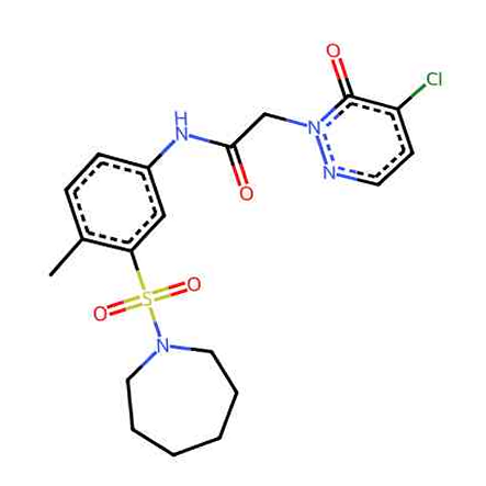 Cc1ccc(NC(=O)Cn2nccc(Cl)c2=O)cc1S(=O)(=O)N1CCCCCC1